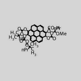 CCCC(OC)OC(=O)OC1C(OC(=O)O)=c2ccc3c4c5c(c(OC(=O)OC(C)(C)CCC)c(OC(=O)OOC(C)(C)CCC)c6ccc7ccc1c(c24)c7c65)CC=3